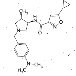 C[C@@H]1CN(Cc2ccc(N(C)C)cc2)C[C@@H]1NC(=O)c1cc(C2CC2)on1